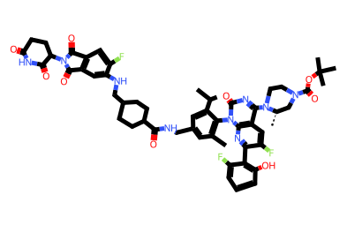 Cc1cc(CNC(=O)C2CCC(CNc3cc4c(cc3F)C(=O)N(C3CCC(=O)NC3=O)C4=O)CC2)cc(C(C)C)c1-n1c(=O)nc(N2CCN(C(=O)OC(C)(C)C)C[C@@H]2C)c2cc(F)c(-c3c(O)cccc3F)nc21